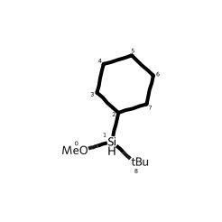 CO[SiH](C1CCCCC1)C(C)(C)C